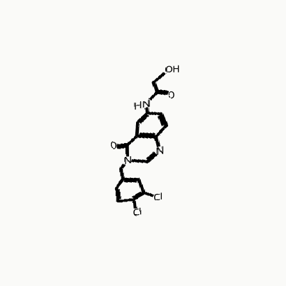 O=C(CO)Nc1ccc2ncn(Cc3ccc(Cl)c(Cl)c3)c(=O)c2c1